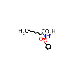 C=CCCCCCC(NC(=O)OCc1ccccc1)C(=O)O